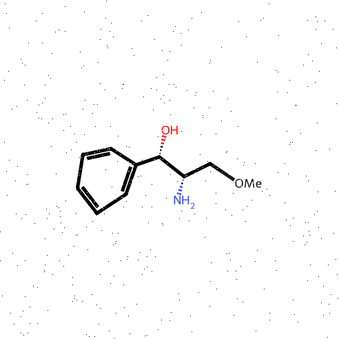 COC[C@H](N)[C@@H](O)c1ccccc1